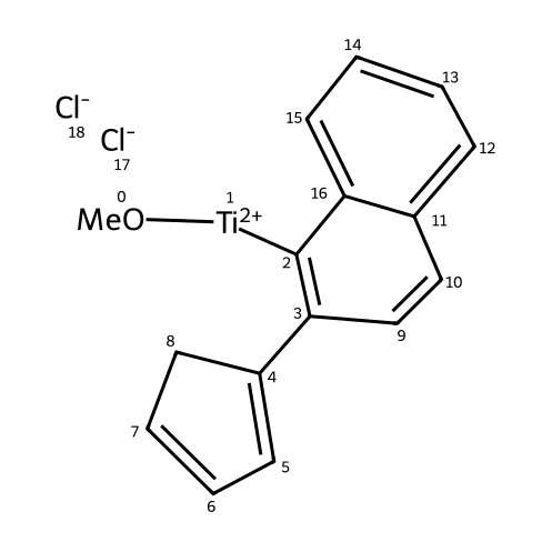 C[O][Ti+2][c]1c(C2=CC=CC2)ccc2ccccc12.[Cl-].[Cl-]